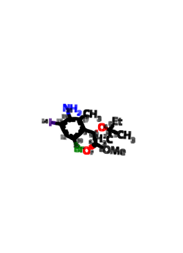 CCC(C)(C)O[C@H](C(=O)OC)c1c(Br)cc(I)c(N)c1C